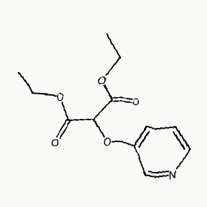 CCOC(=O)C(Oc1cccnc1)C(=O)OCC